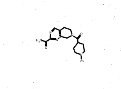 CC(=O)N1CCC(C(=O)N2CCc3[c]nc(C(N)=O)nc3C2)CC1